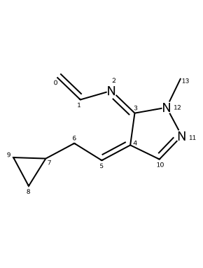 C=C/N=C1\C(=C/CC2CC2)C=NN1C